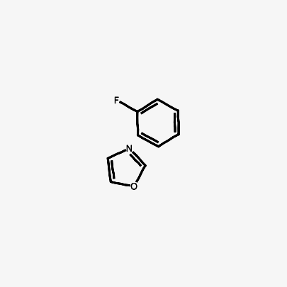 Fc1ccccc1.c1cocn1